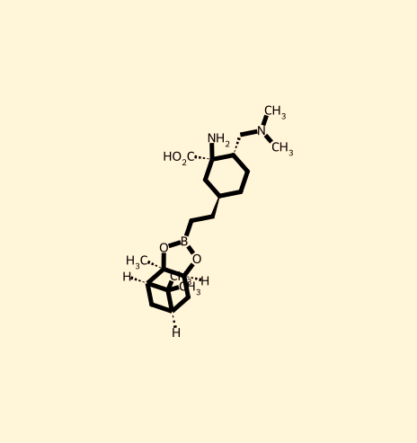 CN(C)C[C@@H]1CC[C@@H](CCB2O[C@H]3C[C@H]4C[C@H](C4(C)C)[C@@]3(C)O2)C[C@]1(N)C(=O)O